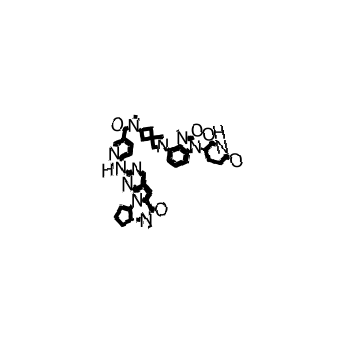 CN(C)C(=O)c1cc2cnc(Nc3ccc(C(=O)N(C)C4CC5(C4)CN(c4cccc6c4n(C)c(=O)n6[C@@H]4CCC(=O)NC4=O)C5)cn3)nc2n1C1CCCC1